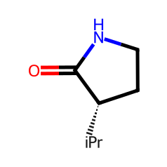 CC(C)[C@H]1CCNC1=O